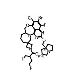 O=C(C(CF)CCF)N1CC2(CCCC3COc4c(Cl)c(Br)c(F)c5nc(OC[C@@]67CCCN6C[C@H](F)C7)nc(c45)N3C2)C1